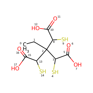 CCC(C(S)C(=O)O)(C(S)C(=O)O)C(S)C(=O)O